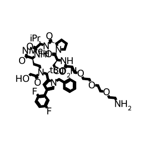 CNC(=O)[C@H](CCN(C(=O)CO)[C@@H](c1cc(-c2cc(F)ccc2F)cn1Cc1ccccc1)C(C)(C)C)NC(=O)[C@@H](NC(=O)[C@@H]1CCCN1C(=O)[C@H](CC(=O)O)NC(=O)CCOCCOCCOCCN)C(C)C